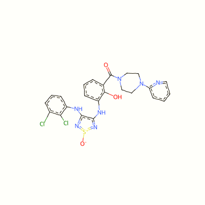 O=C(c1cccc(Nc2n[s+]([O-])nc2Nc2cccc(Cl)c2Cl)c1O)N1CCN(c2ccccn2)CC1